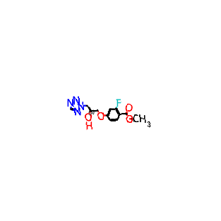 COC(=O)c1ccc(OC[C@@H](O)Cn2ncnn2)cc1F